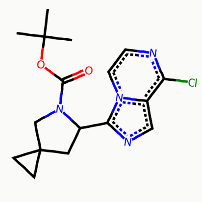 CC(C)(C)OC(=O)N1CC2(CC2)CC1c1ncc2c(Cl)nccn12